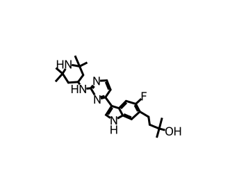 CC(C)(O)CCc1cc2[nH]cc(-c3ccnc(NC4CC(C)(C)NC(C)(C)C4)n3)c2cc1F